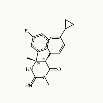 CN1C(=N)N[C@](C)(c2cccc(F)c2)[C@@H](C2C=CC(C3CC3)=CC2)C1=O